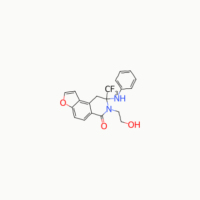 O=C1c2ccc3occc3c2CC(Nc2ccccc2)(C(F)(F)F)N1CCO